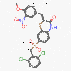 COc1ccc(C=C2Sc3cc(S(=O)(=O)Cc4c(Cl)cccc4Cl)ccc3NC2=O)cc1[N+](=O)[O-]